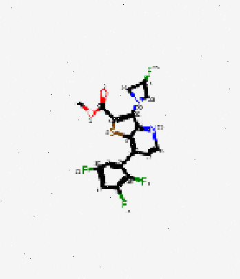 COC(=O)c1sc2c(-c3cc(F)cc(F)c3F)ccnc2c1N1CC(F)C1